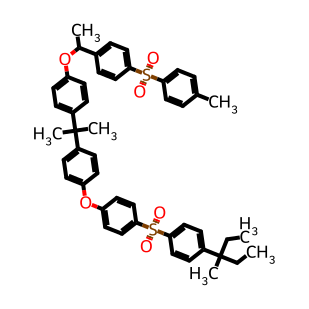 CCC(C)(CC)c1ccc(S(=O)(=O)c2ccc(Oc3ccc(C(C)(C)c4ccc(OC(C)c5ccc(S(=O)(=O)c6ccc(C)cc6)cc5)cc4)cc3)cc2)cc1